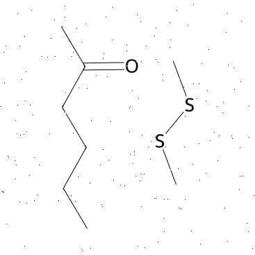 CCCCC(C)=O.CSSC